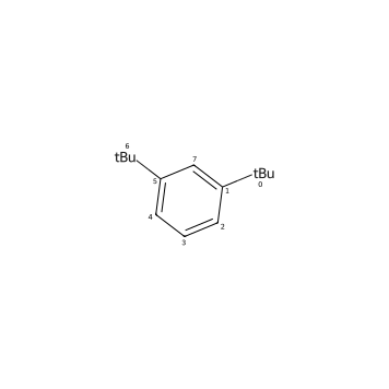 CC(C)(C)c1cccc(C(C)(C)C)c1